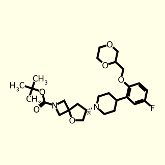 CC(C)(C)OC(=O)N1CC2(C[C@H](N3CCC(c4cc(F)ccc4OCC4COCCO4)CC3)CO2)C1